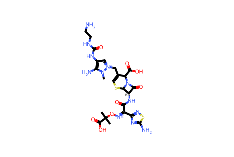 Cn1c(N)c(NC(=O)NCCN)c[n+]1CC1=CSC2[C@H](NC(=O)/C(=N\OC(C)(C)C(=O)O)c3nsc(N)n3)C(=O)N2C1C(=O)O